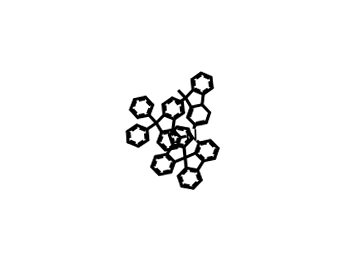 CC1(C)C2=CC(N(c3cccc4c3-c3ccccc3C4(c3ccccc3)c3ccccc3)c3cccc4c3C3(c5ccccc5-c5ccccc53)c3ccccc3-4)=CCC2c2ccccc21